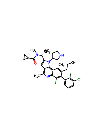 Cc1nc2c(F)c(-c3cccc(Cl)c3Cl)c(CCC#N)cc2c2c1cc([C@@H](C)N(C)C(=O)C1CC1)n2[C@H]1[C@H](C)CN[C@@H]1C